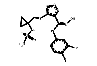 NS(=O)(=O)NC1(CSc2nonc2C(=NO)Nc2ccc(F)c(Br)c2)CC1